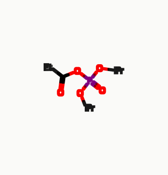 CCC(=O)OP(=O)(OC(C)C)OC(C)C